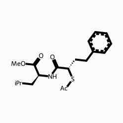 COC(=O)[C@H](CC(C)C)NC(=O)[C@H](CCc1ccccc1)SC(C)=O